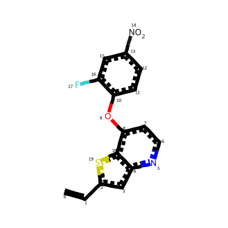 C=Cc1cc2nccc(Oc3ccc([N+](=O)[O-])cc3F)c2s1